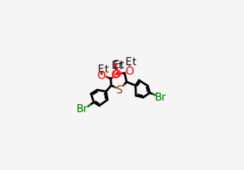 CCOC(OCC)C(SC(c1ccc(Br)cc1)C(OCC)OCC)c1ccc(Br)cc1